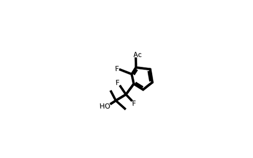 CC(=O)c1cccc(C(F)(F)C(C)(C)O)c1F